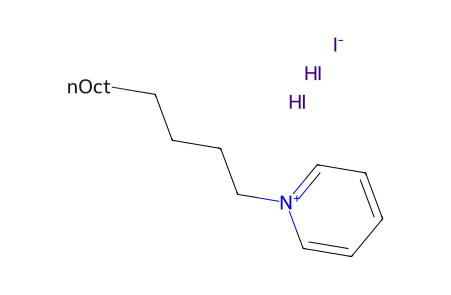 CCCCCCCCCCCC[n+]1ccccc1.I.I.[I-]